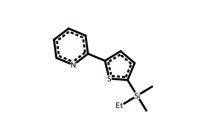 CC[Si](C)(C)c1ccc(-c2ccccn2)s1